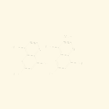 Cc1cc(O)c2nccc(C)c2c1.Cc1cc(O)c2nccc(C)c2c1.[MgH2]